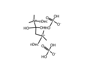 CCCCCCCCCC[N+](C)(C)CC(O)(O)[N+](C)(C)CCCCCCCCCC.O=P([O-])(O)O.O=P([O-])(O)O